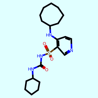 O=C(NC1CCCCC1)NS(=O)(=O)c1cnccc1NC1CCCCCCC1